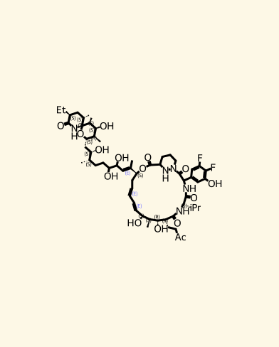 CC[C@H]1C[C@H](C)[C@@]2(NC1=O)O[C@@H](C[C@H](O)[C@@H](C)CCC(O)C(O)/C=C(\C)[C@@H]1C/C=C/C=C/[C@H](O)[C@H](C)[C@@H](O)[C@@H](CCC(C)=O)C(=O)N[C@@H](C(C)C)C(=O)NC(c3cc(O)c(F)c(F)c3)C(=O)N3CCCC(N3)C(=O)O1)[C@H](C)[C@H](O)[C@@H]2C